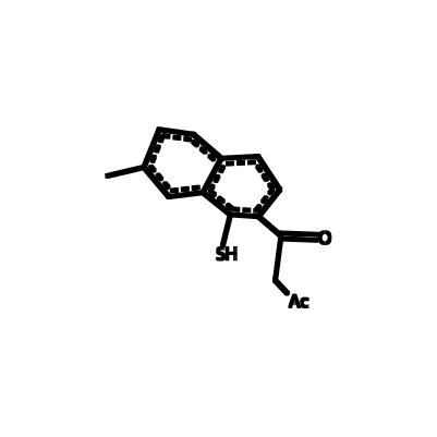 CC(=O)CC(=O)c1ccc2ccc(C)cc2c1S